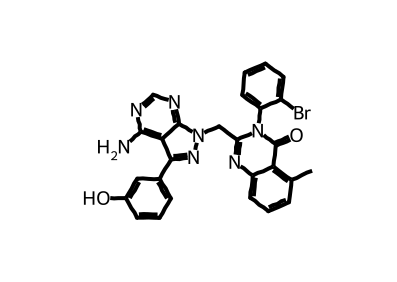 Cc1cccc2nc(Cn3nc(-c4cccc(O)c4)c4c(N)ncnc43)n(-c3ccccc3Br)c(=O)c12